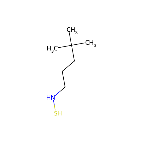 CC(C)(C)CCCNS